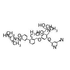 CN[C@H]1C[C@@H](C)N(c2nc3cc(-c4cccc(COc5cc(OCc6cncc(C#N)c6)c(CN(C)C(C)(CO)CO)cc5Cl)c4C)ccc3o2)C1